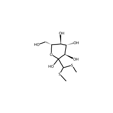 CSC(SC)C1(O)O[C@H](CO)[C@@H](O)[C@H](O)[C@H]1O